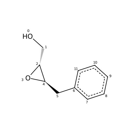 OC[C@H]1O[C@@H]1Cc1ccccc1